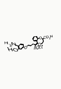 CCCCCCCCC(CCCOc1ccc(N)c(O)c1)=C1OCCC(C(=O)O)Oc2ccccc21